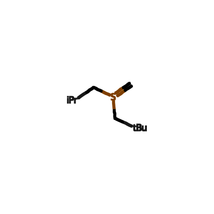 C=S(CC(C)C)CC(C)(C)C